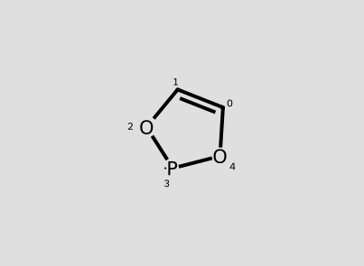 C1=CO[P]O1